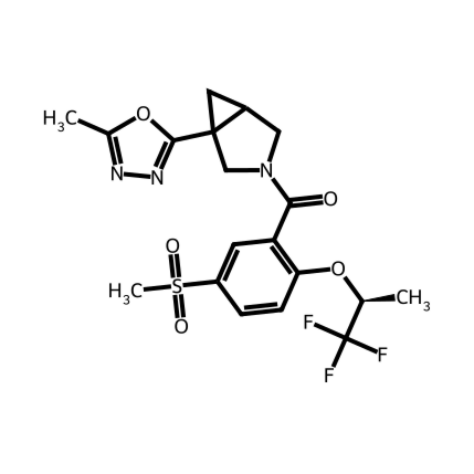 Cc1nnc(C23CC2CN(C(=O)c2cc(S(C)(=O)=O)ccc2O[C@@H](C)C(F)(F)F)C3)o1